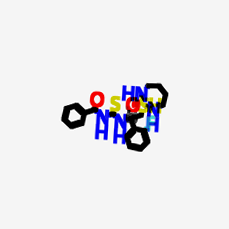 C[C@@](C[SH]1(=O)NCCCCN1)(NC(=S)NC(=O)c1ccccc1)c1ccccc1F